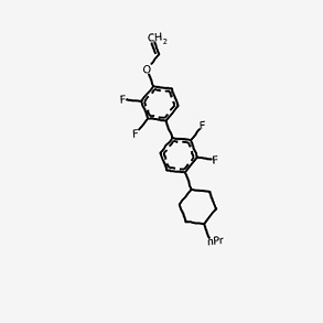 C=COc1ccc(-c2ccc(C3CCC(CCC)CC3)c(F)c2F)c(F)c1F